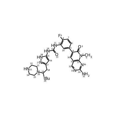 Cn1c(=O)c(-c2ccc(F)c(NC(=O)Nc3cc(CC(N4CCNCC4)C(C)(C)C)n[nH]3)c2)cc2cnc(N)nc21